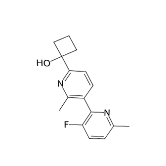 Cc1ccc(F)c(-c2ccc(C3(O)CCC3)nc2C)n1